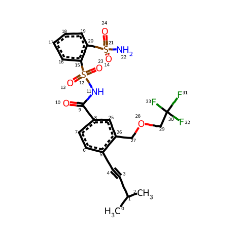 CC(C)C#Cc1ccc(C(=O)NS(=O)(=O)c2ccccc2S(N)(=O)=O)cc1COCC(F)(F)F